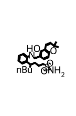 CCCCC(CCCS(N)(=O)=O)c1ccccc1N=Cc1ccc2c(c1O)C=CC(C)(C)O2